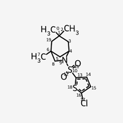 CC1(C)CC2CC(C)(CN2S(=O)(=O)c2ccc(Cl)s2)C1